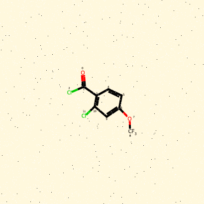 O=C(Cl)c1ccc(OC(F)(F)F)cc1Cl